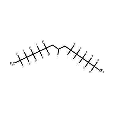 FC(F)(F)C(F)(F)C(F)(F)C(F)(F)C(F)(F)C(F)(F)CC(I)CC(F)(F)C(F)(F)C(F)(F)C(F)(F)C(F)(F)C(F)(F)F